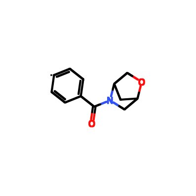 O=C(c1cc[c]cc1)N1CC2CC1CO2